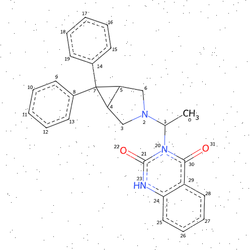 CC(N1CC2C(C1)C2(c1ccccc1)c1ccccc1)n1c(=O)[nH]c2ccccc2c1=O